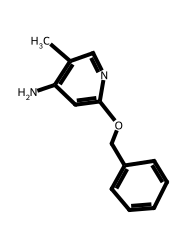 Cc1cnc(OCc2ccccc2)cc1N